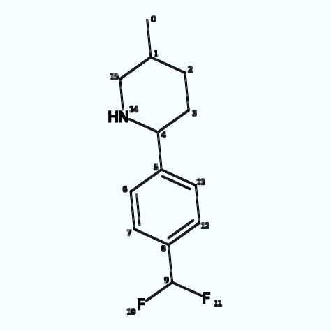 CC1CCC(c2ccc(C(F)F)cc2)NC1